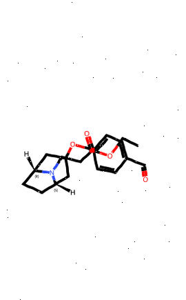 CCOC(=O)CCN1[C@@H]2CC[C@H]1CC(Oc1ccc(C=O)cc1)C2